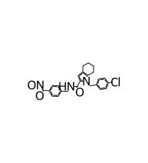 O=NC(=O)c1ccc(CNC(=O)c2cc3c(n2Cc2ccc(Cl)cc2)CCCC3)cc1